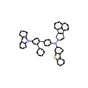 C1=CC(N(c2ccc(-c3ccc(-n4c5ccccc5c5ccccc54)cc3-c3ccccc3)cc2)c2ccc3c(c2)sc2ccccc23)CC2=C1c1cccc3cccc2c13